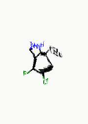 CC(C)(C)c1cc(Cl)c(F)c2cn[nH]c12